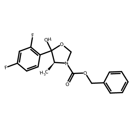 C[C@@H]1N(C(=O)OCc2ccccc2)COC1(O)c1ccc(F)cc1F